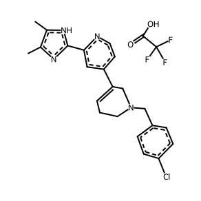 Cc1nc(-c2cc(C3=CCCN(Cc4ccc(Cl)cc4)C3)ccn2)[nH]c1C.O=C(O)C(F)(F)F